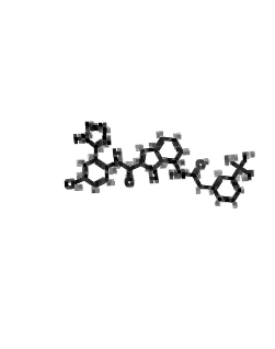 O=C(Cc1cccc(C(F)(F)F)c1)Nc1cccc2cc(C(=O)Nc3ccc(Cl)cc3-c3nnn[nH]3)[nH]c12